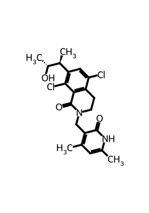 Cc1cc(C)c(CN2CCc3c(Cl)cc([C@H](C)[C@@H](C)O)c(Cl)c3C2=O)c(=O)[nH]1